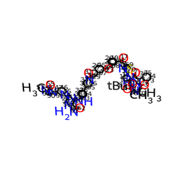 C[C@@H](C(=O)N[C@H](C(=O)N1CCC[C@H]1c1nc(C(=O)c2cccc(OC3CCCC(CC(=O)N4CCC(c5ccc(Nc6nc(N7CCC[C@@H](N8CCN(C)C8=O)C7)cnc6C(N)=O)cc5)CC4)C3)c2)cs1)C1CCCCC1)N(C)C(=O)OC(C)(C)C